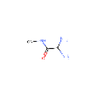 NC(N)C(=O)NN=O